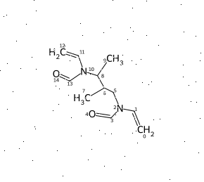 C=CN(C=O)CC(C)C(C)N(C=C)C=O